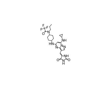 CCCN(C(=O)C(F)(F)F)C1CCC(Nc2cc(NC3CC3)n3ncc(C=C4NC(=O)NC4=O)c3n2)CC1